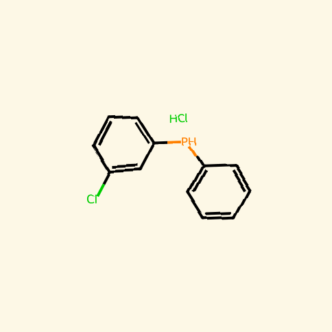 Cl.Clc1cccc(Pc2ccccc2)c1